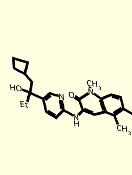 CCC(O)(CC1CCC1)c1ccc(Nc2cc3c(C)c(Br)ccc3n(C)c2=O)nc1